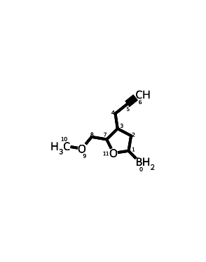 BC1CC(CC#C)C(COC)O1